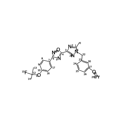 Cc1nc(-c2nc(-c3ccc(OC(C)(C)F)cc3)no2)nn1Cc1cccc(OC(C)C)c1